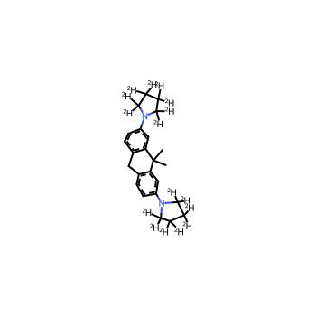 [2H]C1([2H])N(c2ccc3c(c2)C(C)(C)c2cc(N4C([2H])([2H])C([2H])([2H])C([2H])([2H])C4([2H])[2H])ccc2C3)C([2H])([2H])C([2H])([2H])C1([2H])[2H]